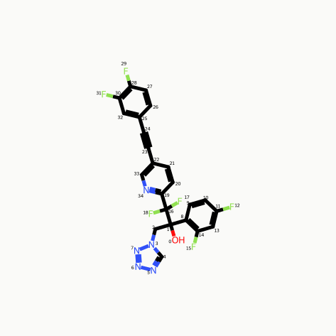 OC(Cn1cnnn1)(c1ccc(F)cc1F)C(F)(F)c1ccc(C#Cc2ccc(F)c(F)c2)cn1